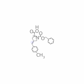 Cc1ccc(/C=C2/C[C@@H](C(=O)O)N(C(=O)OCc3ccccc3)C2)cc1